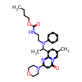 CCCCOC(=O)NCCN(c1ccccc1)C(C)c1cc(C)cn2c(=O)cc(N3CCOCC3)nc12